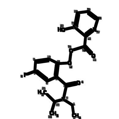 CCN(C(=O)c1cc(F)ccc1OOC(=O)c1nccc[n+]1O)C(C)C